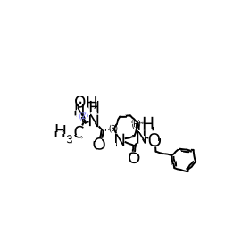 C/C(=N/O)NC(=O)[C@@H]1CC[C@@H]2CN1C(=O)N2OCc1ccccc1